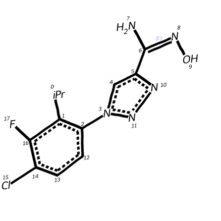 CC(C)c1c(-n2cc(/C(N)=N\O)nn2)ccc(Cl)c1F